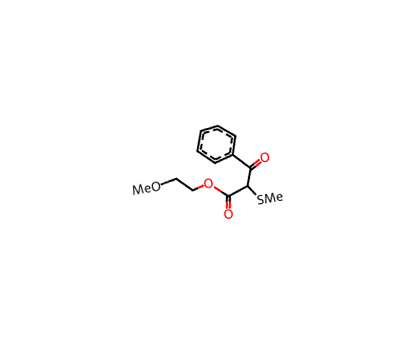 COCCOC(=O)C(SC)C(=O)c1ccccc1